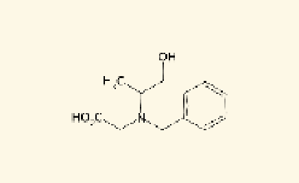 CC(CO)N(CC(=O)O)Cc1ccccc1